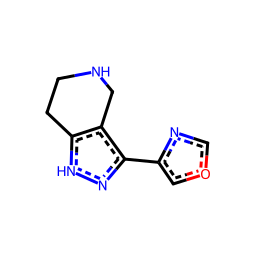 c1nc(-c2n[nH]c3c2CNCC3)co1